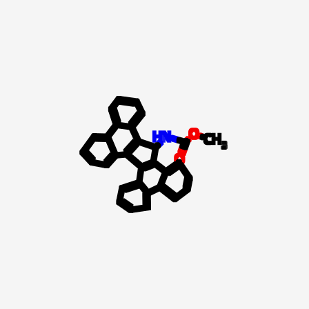 COC(=O)NC1c2c(c3ccccc3c3ccccc23)-c2c1c1ccccc1c1ccccc21